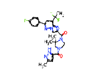 Cc1cc(C(=O)N2CCN(C(=O)c3cn4nc(-c5ccc(F)cc5)cc(C(C)(F)F)c4n3)C(C)(C)C2)[nH]n1